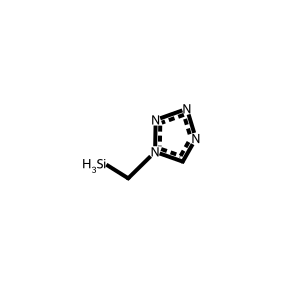 [SiH3]Cn1cnnn1